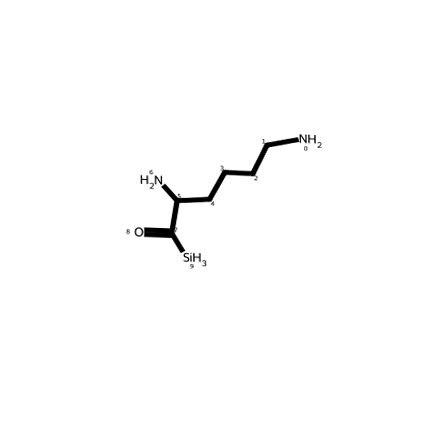 NCCCCC(N)C(=O)[SiH3]